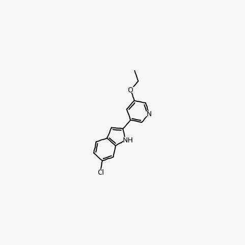 CCOc1cncc(-c2cc3ccc(Cl)cc3[nH]2)c1